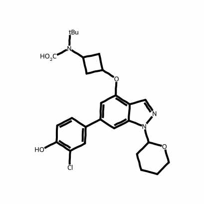 CC(C)(C)N(C(=O)O)C1CC(Oc2cc(-c3ccc(O)c(Cl)c3)cc3c2cnn3C2CCCCO2)C1